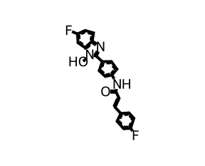 O=C(/C=C/c1ccc(F)cc1)Nc1ccc(-c2nc3ccc(F)cc3n2O)cc1